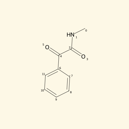 CNC(=O)C(=O)c1[c]cccc1